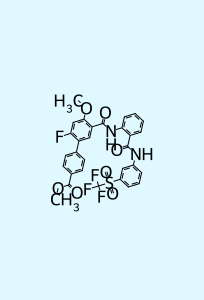 COC(=O)c1ccc(-c2cc(C(=O)Nc3ccccc3C(=O)Nc3cccc(S(=O)(=O)C(F)(F)F)c3)c(OC)cc2F)cc1